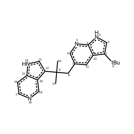 CC(C)(C)c1c[nH]c2ncc(CC(C)(C)c3c[nH]c4ccncc34)cc12